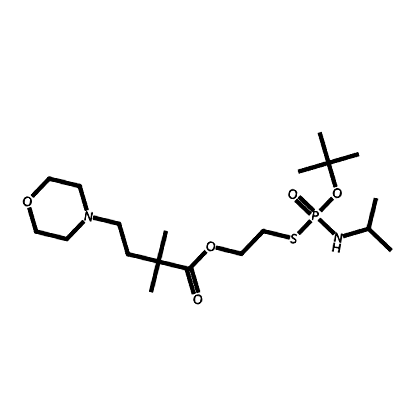 CC(C)NP(=O)(OC(C)(C)C)SCCOC(=O)C(C)(C)CCN1CCOCC1